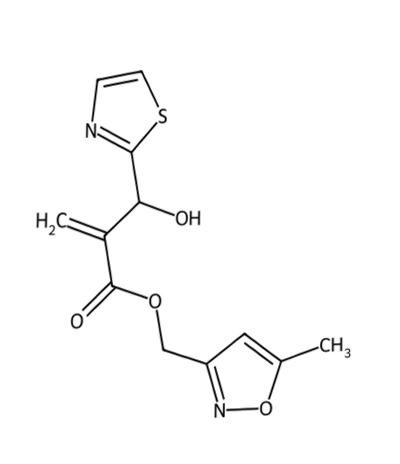 C=C(C(=O)OCc1cc(C)on1)C(O)c1nccs1